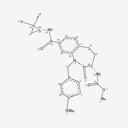 COc1ccc(CN2C(=O)[C@@H](NC(=O)OC(C)(C)C)CSc3ccc(C(=O)N[C@@H]4CC4(F)F)cc32)cc1